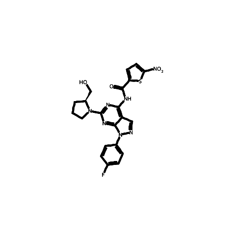 O=C(Nc1nc(N2CCC[C@H]2CO)nc2c1cnn2-c1ccc(F)cc1)c1ccc([N+](=O)[O-])s1